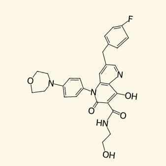 O=C(NCCO)c1c(O)c2ncc(Cc3ccc(F)cc3)cc2n(-c2ccc(N3CCOCC3)cc2)c1=O